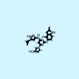 Cc1cc2c(F)c(Oc3nc(Nc4cc(C5CC5)[nH]n4)cc(N4CCC(O)C4)n3)ccc2[nH]1